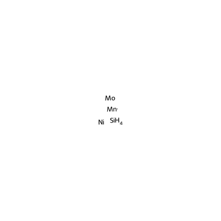 [Mn].[Mo].[Ni].[SiH4]